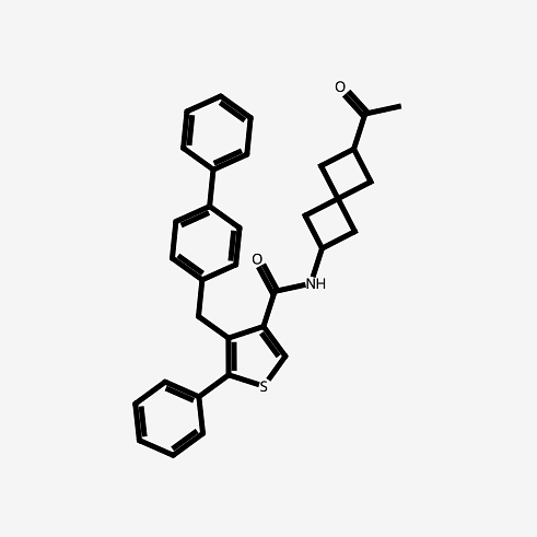 CC(=O)C1CC2(CC(NC(=O)c3csc(-c4ccccc4)c3Cc3ccc(-c4ccccc4)cc3)C2)C1